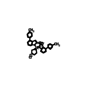 CCCC1=Cc2c(-c3ccc(C)cc3)cccc2[CH]1[Hf+2]1([CH]2C(CCC)=Cc3c(-c4ccc(C)cc4)cccc32)[CH]2CCCC[CH]21.[Cl-].[Cl-]